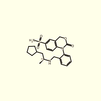 C[C@@H](CC1CCCC1)NCc1ccccc1N1C(=O)OCc2cc(S(N)(=O)=O)ccc21